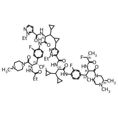 CCC(=O)N[C@@H](C(=O)N1CCN(C)CC1)[C@H](c1ccc(NC(=O)[C@@H](NC(=O)c2ccnn2CC)C(C2CC2)C2CC2c2cc(C(=O)N[C@H](C(=O)Nc3ccc([C@H](C)[C@@H](NC(=O)[C@@H](C)F)C(=O)N4CCN(C)[C@H](C)C4)cc3F)C(C3CC3)C3CC3)n(CC)n2)c(F)c1)C(F)(F)F